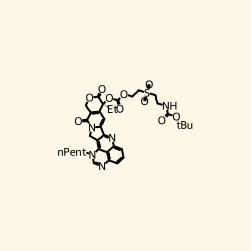 CCCCCN1C=Nc2cccc3nc4c(c1c23)Cn1c-4cc2c(c1=O)COC(=O)[C@@]2(CC)OC(=O)OCCS(=O)(=O)CCNC(=O)OC(C)(C)C